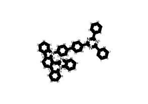 c1ccc(-c2nc(-c3ccccc3)nc(-c3ccc(-c4ccc(-n5c6ccccc6c6ccc7c8ccccc8n8c9ccccc9nc8c7c65)cc4)cc3)n2)cc1